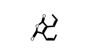 C/C=C\C1=C(/C=C\C)C(=O)OC1=O